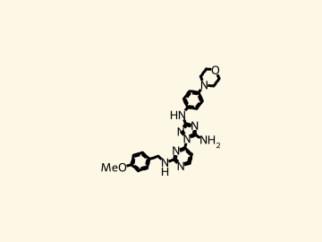 COc1ccc(CNc2nccc(-n3nc(Nc4ccc(N5CCOCC5)cc4)nc3N)n2)cc1